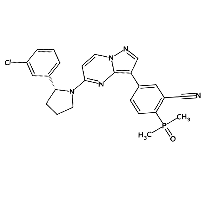 CP(C)(=O)c1ccc(-c2cnn3ccc(N4CCC[C@@H]4c4cccc(Cl)c4)nc23)cc1C#N